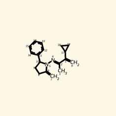 C=C(/C(C)=N/N1C(=C)CCC1c1ccccc1)C1CC1